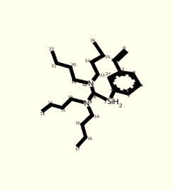 C=Cc1cccc([SiH2]C(N(CCCC)CCCC)N(CCCC)CCCC)c1